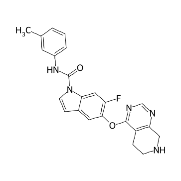 Cc1cccc(NC(=O)n2ccc3cc(Oc4ncnc5c4CCNC5)c(F)cc32)c1